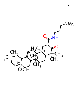 CNCCCNC(=O)C1C[C@@]2(C)C(CC[C@]3(C)C2CC=C2C4CC(C)(C)CC[C@]4(C(=O)O)CC[C@]23C)C(C)(C)C1=O